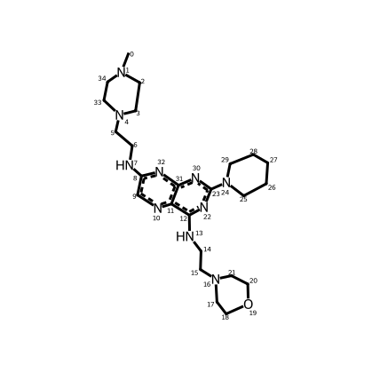 CN1CCN(CCNc2cnc3c(NCCN4CCOCC4)nc(N4CCCCC4)nc3n2)CC1